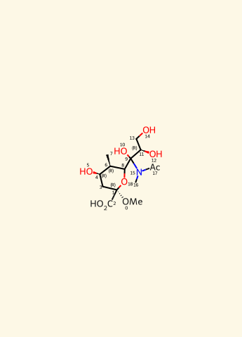 CO[C@]1(C(=O)O)C[C@@H](O)[C@@H](C)C(C(O)([C@H](O)CO)N(C)C(C)=O)O1